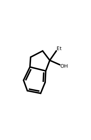 CCC1(O)CCc2ccccc21